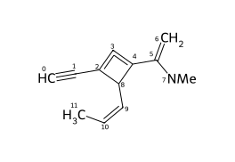 C#CC1=C=C(C(=C)NC)C1/C=C\C